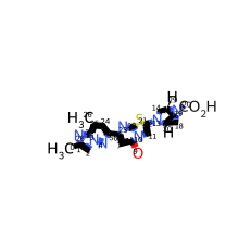 Cc1cn2nc(-c3cc(=O)n4cc(N5C[C@@H]6C[C@H]5CN6C(=O)O)sc4n3)cc(C)c2n1